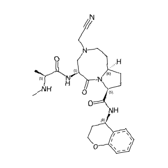 CN[C@@H](C)C(=O)N[C@H]1CN(CC#N)CC[C@H]2CC[C@@H](C(=O)N[C@@H]3CCOc4ccccc43)N2C1=O